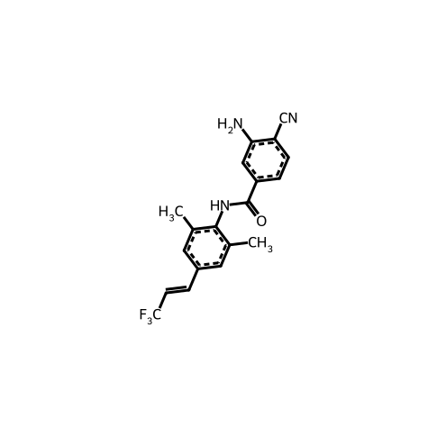 Cc1cc(C=CC(F)(F)F)cc(C)c1NC(=O)c1ccc(C#N)c(N)c1